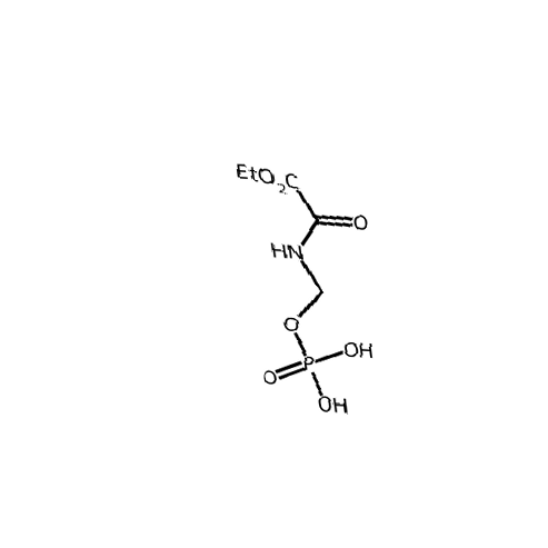 CCOC(=O)C(=O)NCOP(=O)(O)O